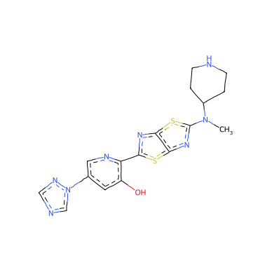 CN(c1nc2sc(-c3ncc(-n4cncn4)cc3O)nc2s1)C1CCNCC1